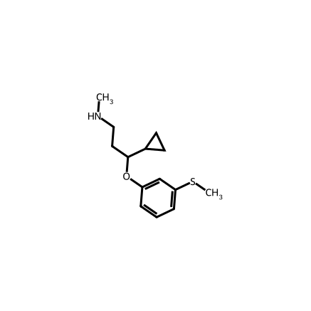 CNCCC(Oc1cccc(SC)c1)C1CC1